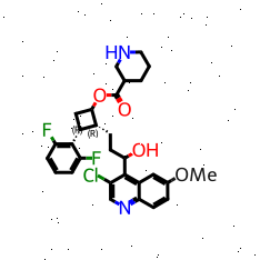 COc1ccc2ncc(Cl)c(C(O)CC[C@H]3C(OC(=O)C4CCCNC4)C[C@H]3c3c(F)cccc3F)c2c1